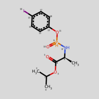 CC(C)OC(=O)[C@H](C)N[PH](=O)Oc1ccc(I)cc1